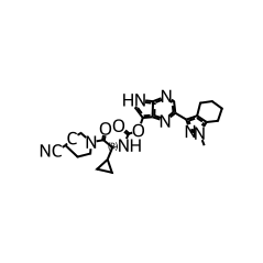 Cn1nc(-c2cnc3[nH]cc(OC(=O)N[C@@H](C(=O)N4CCC(C#N)CC4)C4CC4)c3n2)c2c1CCCC2